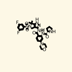 CC1(C)c2[nH]nc(NC(=O)c3ccc(N4CCOCC4)cc3NC(=O)[C@@H]3CCCN3)c2CN1S(=O)(=O)c1cc(F)cc(F)c1